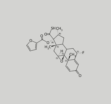 C[C@@H]1CC2C3C[C@H](F)C4=CC(=O)C=C[C@]4(C)[C@@]34O[C@H]4C[C@]2(C)[C@@]1(OC(=O)c1ccco1)C(=O)S